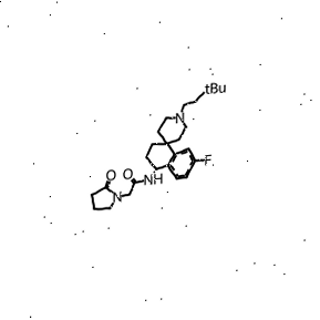 CC(C)(C)CCN1CCC2(CC[C@@H](NC(=O)CN3CCCC3=O)c3ccc(F)cc32)CC1